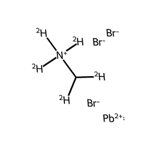 [2H]C([2H])[N+]([2H])([2H])[2H].[Br-].[Br-].[Br-].[Pb+2]